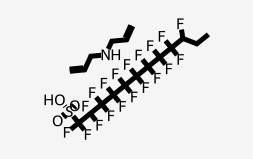 C=CCNCC=C.CCC(F)C(F)(F)C(F)(F)C(F)(F)C(F)(F)C(F)(F)C(F)(F)C(F)(F)C(F)(F)C(F)(F)S(=O)(=O)O